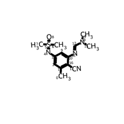 Cc1cc(N=S(C)(C)=O)cc(/N=C/N(C)C)c1C#N